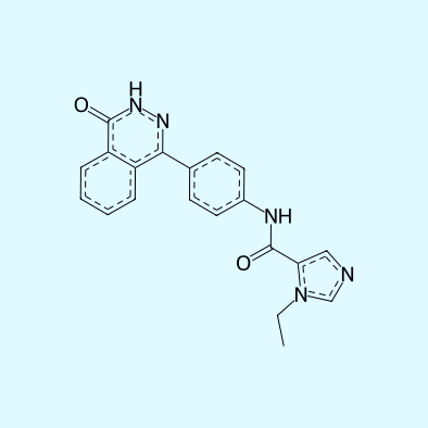 CCn1cncc1C(=O)Nc1ccc(-c2n[nH]c(=O)c3ccccc23)cc1